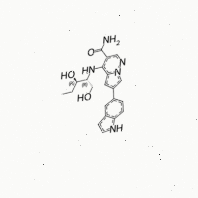 CC[C@@H](O)[C@@H](CO)Nc1c(C(N)=O)cnn2cc(-c3ccc4[nH]ccc4c3)cc12